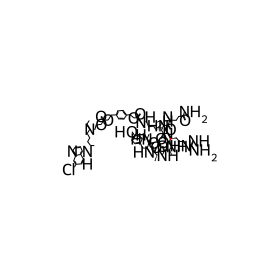 CCN(CCCC(C)Nc1ccnc2cc(Cl)ccc12)CCOC(=O)OCc1ccc(COC(=O)NCCCC[C@H](NC(=O)[C@@H](N)CCC(N)=O)C(=O)N[C@@H](CCCNC(=N)N)C(=O)N[C@@H](C)C(=O)N[C@@H](C)C(=O)N[C@@H](Cc2ccc(O)cc2)C(=O)NC)cc1